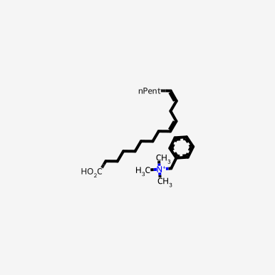 CCCCC/C=C\C/C=C\CCCCCCCC(=O)O.C[N+](C)(C)Cc1ccccc1